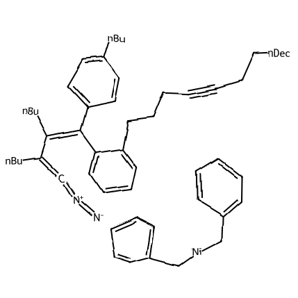 CCCCCCCCCCCCC#CCCCc1ccccc1C(=C(CCCC)C(=C=[N+]=[N-])CCCC)c1ccc(CCCC)cc1.c1ccc([CH2][Ni][CH2]c2ccccc2)cc1